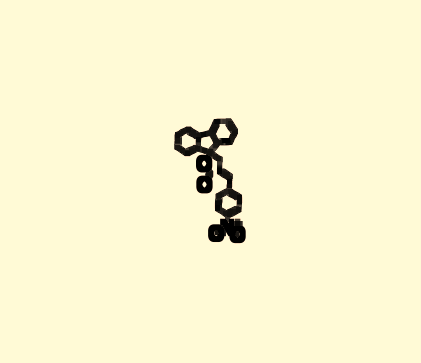 O=COC1(CC=Cc2ccc([N+](=O)[O-])cc2)c2ccccc2-c2ccccc21